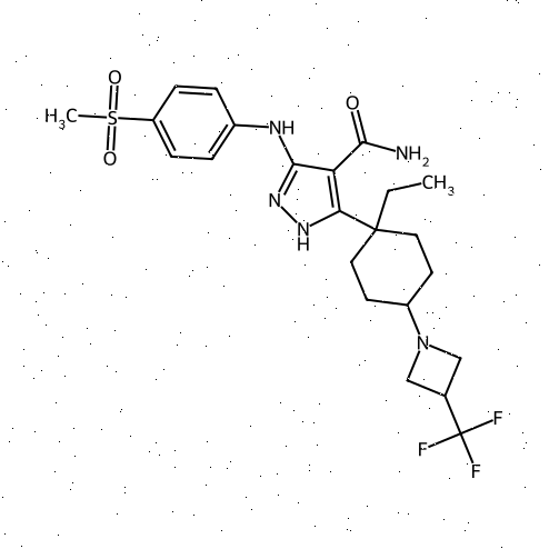 CCC1(c2[nH]nc(Nc3ccc(S(C)(=O)=O)cc3)c2C(N)=O)CCC(N2CC(C(F)(F)F)C2)CC1